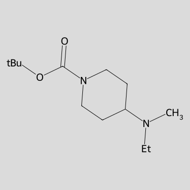 CCN(C)C1CCN(C(=O)OC(C)(C)C)CC1